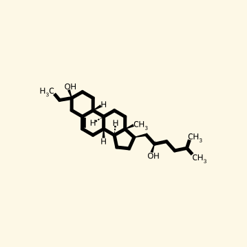 CC[C@]1(O)CC[C@H]2C(=CC[C@@H]3[C@@H]2CC[C@]2(C)[C@@H](C[C@H](O)CCC(C)C)CC[C@@H]32)C1